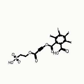 O=C(C#COC(=O)c1c(I)c(I)c(I)c(I)c1C(=O)O)OCCS(=O)(=O)O